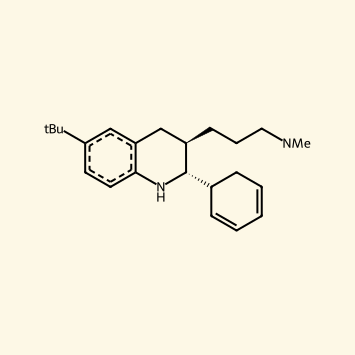 CNCCC[C@@H]1Cc2cc(C(C)(C)C)ccc2N[C@H]1C1C=CC=CC1